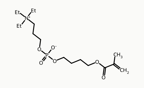 C=C(C)C(=O)OCCCCOP(=O)([O-])OCCC[N+](CC)(CC)CC